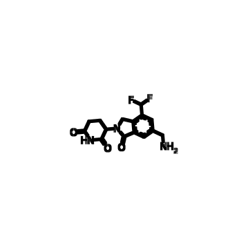 NCc1cc2c(c(C(F)F)c1)CN(C1CCC(=O)NC1=O)C2=O